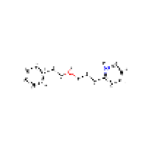 c1ccc(CCOCCCc2ccccn2)cc1